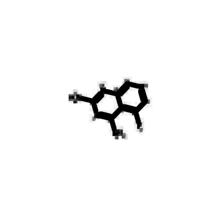 Nc1nc(N)c2c(F)cncc2n1